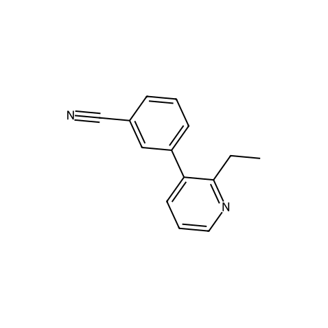 CCc1ncccc1-c1cccc(C#N)c1